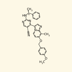 COc1ccc(COc2ccn3c(-c4nc(N[C@@H](C)c5ccccc5)ncc4C#N)cnc3c2C)cc1